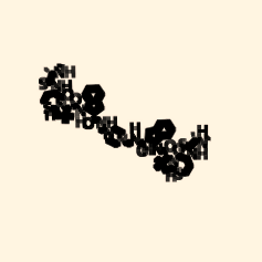 CN[C@@H](C)C(=S)N[C@H]1CCS[C@H]2CC(C)(C)[C@@H](C(=O)N[C@H]3c4ccccc4C[C@H]3C(=O)NCN3CCN(CNC(=O)[C@@H]4Cc5ccccc5[C@@H]4NC(=O)[C@H]4N5C(=O)[C@@H](NC(=S)[C@H](C)NC)CCS[C@H]5CC4(C)C)CC3)N2C1=O